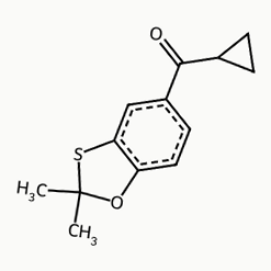 CC1(C)Oc2ccc(C(=O)C3CC3)cc2S1